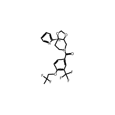 CC(F)(F)COc1ccc(C(=O)N2CC[C@]3(c4ccccn4)OCOC3C2)cc1C(F)(F)F